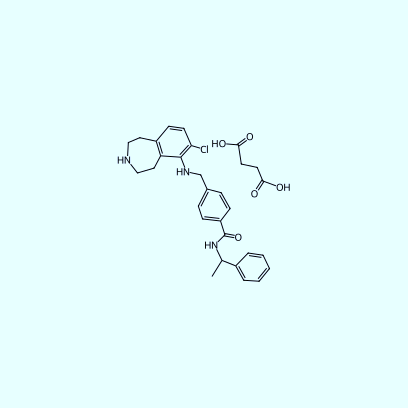 CC(NC(=O)c1ccc(CNc2c(Cl)ccc3c2CCNCC3)cc1)c1ccccc1.O=C(O)CCC(=O)O